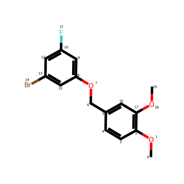 COc1ccc(COc2cc(F)cc(Br)c2)cc1OC